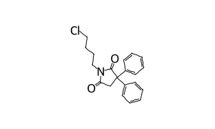 O=C1CC(c2ccccc2)(c2ccccc2)C(=O)N1CCCCCl